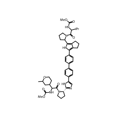 COC(=O)NC(C(=O)N1CCCC1c1[nH]c(-c2ccc(-c3ccc(-c4cnc([C@@H]5CCCN5C(=O)C(NC(=O)OC)C5CCOC(C)C5)[nH]4)cc3)cc2)c2c1CCC2)C(C)C